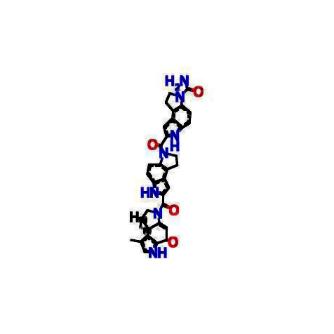 Cc1c[nH]c2c1[C@@]13C[C@@H]1CN(C(=O)c1cc4c5c(ccc4[nH]1)N(C(=O)c1cc4c6c(ccc4[nH]1)N(C(N)=O)CC6)CC5)C3=CC2=O